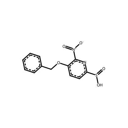 O=[N+]([O-])c1nc(S(=O)O)ccc1OCc1ccccc1